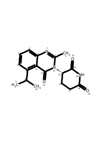 Cc1nc2cccc(C(C)C)c2c(=O)n1[C@H]1CCC(=O)NC1=O